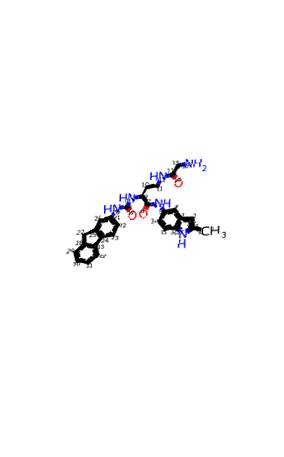 Cc1cc2cc(NC(=O)[C@H](CCNC(=O)CN)NC(=O)Nc3ccc4c(c3)Cc3ccccc3-4)ccc2[nH]1